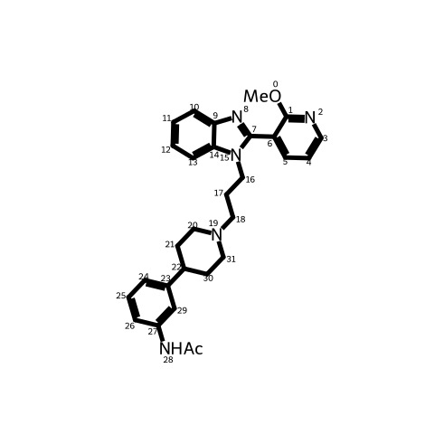 COc1ncccc1-c1nc2ccccc2n1CCCN1CCC(c2cccc(NC(C)=O)c2)CC1